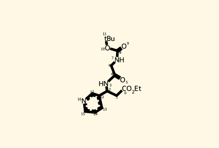 CCOC(=O)CC(NC(=O)CNC(=O)OC(C)(C)C)c1cccnc1